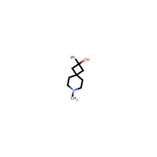 CC(C)C1(O)CC2(CCN(C)CC2)C1